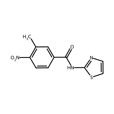 Cc1cc(C(=O)Nc2nccs2)ccc1[N+](=O)[O-]